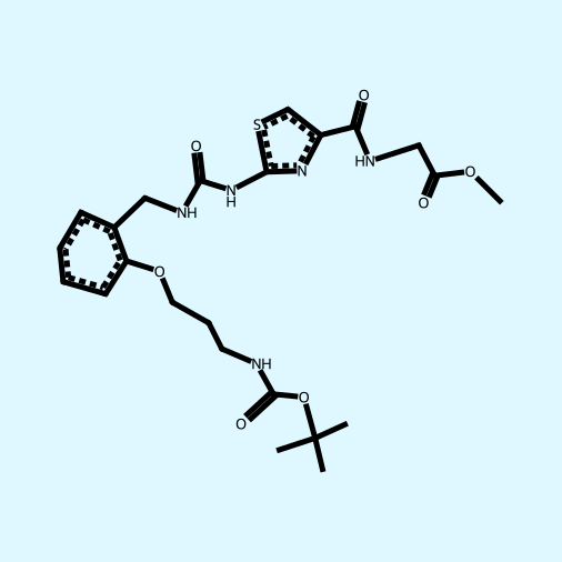 COC(=O)CNC(=O)c1csc(NC(=O)NCc2ccccc2OCCCNC(=O)OC(C)(C)C)n1